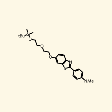 CNc1ccc(-c2nc3ccc(OCCOCCO[Si](C)(C)C(C)(C)C)cc3s2)cc1